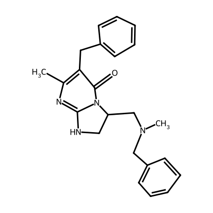 Cc1nc2n(c(=O)c1Cc1ccccc1)C(CN(C)Cc1ccccc1)CN2